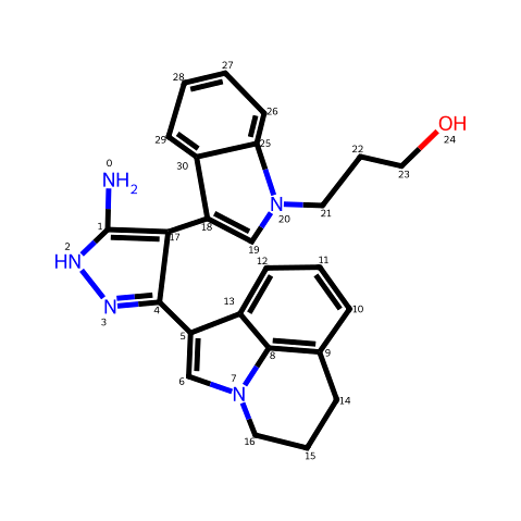 Nc1[nH]nc(-c2cn3c4c(cccc24)CCC3)c1-c1cn(CCCO)c2ccccc12